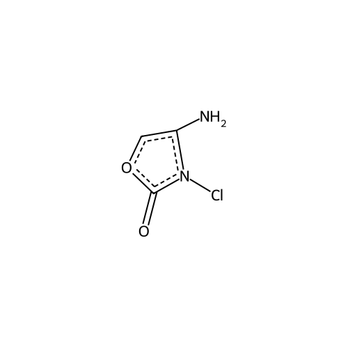 Nc1coc(=O)n1Cl